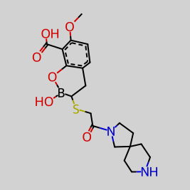 COc1ccc2c(c1C(=O)O)OB(O)C(SCC(=O)N1CCC3(CCNCC3)C1)C2